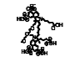 CC[N+]1=C(/C=C/C=C/C=C2/N(CCCCCC(=O)O)c3ccc4c(S(=O)(=O)[O-])cc(S(=O)(=O)O)cc4c3C2(C)CCOCCOCCOC)C(C)(CCCS(=O)(=O)O)c2c1ccc1c(S(=O)(=O)O)cc(S(=O)(=O)O)cc21